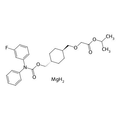 CC(C)OC(=O)COC[C@H]1CC[C@H](COC(=O)N(c2ccccc2)c2cccc(F)c2)CC1.[MgH2]